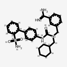 N=C(N)c1cccc(CN(CC2CCCCC2)C(=O)Nc2ccc(-c3ccccc3S(N)(=O)=O)cc2)c1